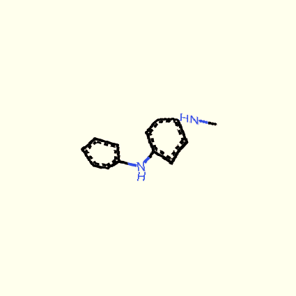 CNc1ccc(Nc2ccccc2)cc1